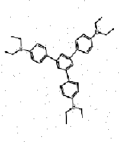 CCB(CC)c1ccc(-c2cc(-c3ccc(B(CC)CC)cc3)cc(-c3ccc(B(CC)CC)cc3)c2)cc1